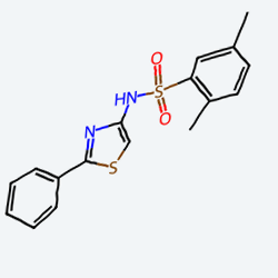 Cc1ccc(C)c(S(=O)(=O)Nc2csc(-c3ccccc3)n2)c1